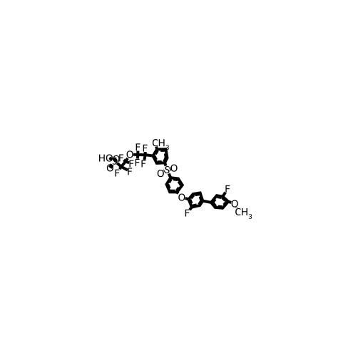 COc1ccc(-c2ccc(Oc3ccc(S(=O)(=O)c4ccc(C)c(C(F)(F)C(F)(F)OC(F)(F)C(F)(F)S(=O)(=O)O)c4)cc3)c(F)c2)cc1F